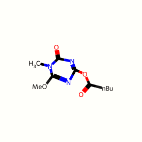 CCCCC(=O)Oc1nc(OC)n(C)c(=O)n1